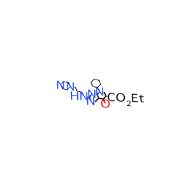 CCOC(=O)c1cn(C2CCCCC2)c2nc(NCCCN3CCN(C)CC3)ncc2c1=O